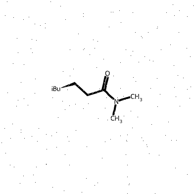 CC[C@H](C)CCC(=O)N(C)C